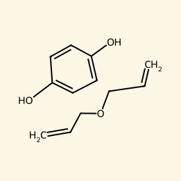 C=CCOCC=C.Oc1ccc(O)cc1